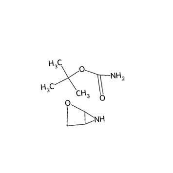 C1OC2NC12.CC(C)(C)OC(N)=O